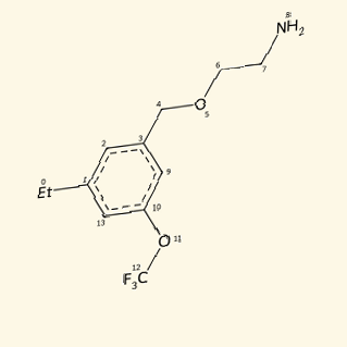 CCc1cc(COCCN)cc(OC(F)(F)F)c1